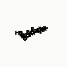 O=C(c1ccc(-c2ccc(OCC3CCN(CC4(C(F)(F)F)CCC4)CC3)c(F)c2)c(F)c1)N1CC[C@H](O)C1